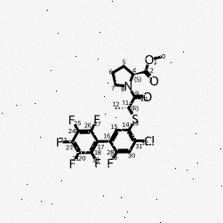 COC(=O)[C@@H]1CCCN1C(=O)[C@@H](C)Sc1cc(-c2c(F)c(F)c(F)c(F)c2F)c(F)cc1Cl